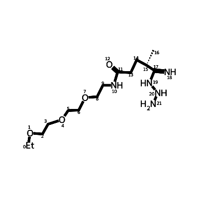 CCOCCOCCOCCNC(=O)CC[C@H](C)C(=N)NNN